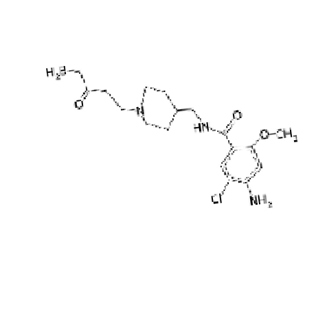 BCC(=O)CCN1CCC(CNC(=O)c2cc(Cl)c(N)cc2OC)CC1